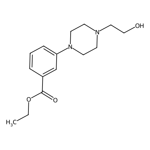 CCOC(=O)c1cccc(N2CCN(CCO)CC2)c1